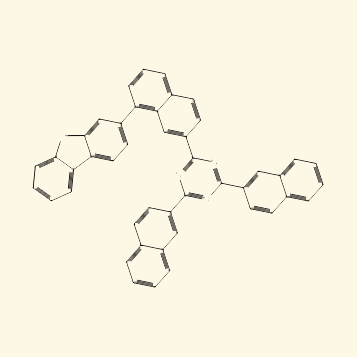 c1ccc2cc(-c3nc(-c4ccc5ccccc5c4)nc(-c4ccc5cccc(-c6ccc7c(c6)oc6ccccc67)c5c4)n3)ccc2c1